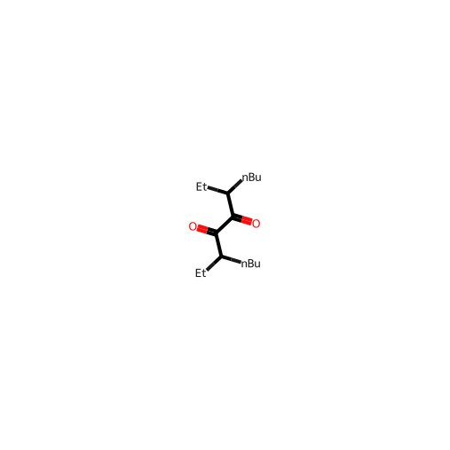 CCCCC(CC)C(=O)C(=O)C(CC)CCCC